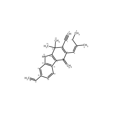 C#CC1=C(/C=C(/C)CC)C(=C)c2c([nH]c3cc(C=C)ccc23)C1(C)C